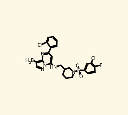 Bc1cnn2c(NCC3CCCN(S(=O)(=O)c4ccc(F)c(Cl)c4)C3)cc(-c3ccccc3Cl)nc12